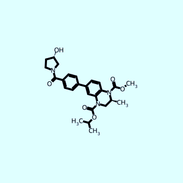 COC(=O)N1c2ccc(-c3ccc(C(=O)N4CC[C@H](O)C4)cc3)cc2N(C(=O)OC(C)C)C[C@@H]1C